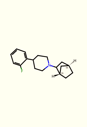 Fc1ccccc1C1CCN(C2C[C@H]3CC[C@H]2C3)CC1